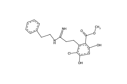 COC(=O)c1c(O)cc(O)c(Cl)c1CCC(=N)NCCc1ccccc1